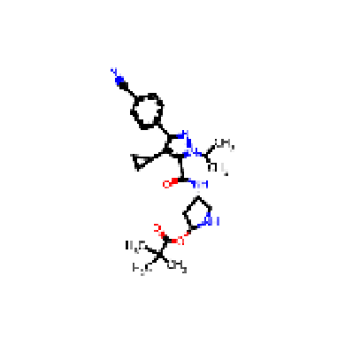 CC(C)n1nc(-c2ccc(C#N)cc2)c(C2CC2)c1C(=O)N[C@@H]1CNC(OC(=O)C(C)(C)C)C1